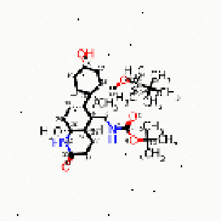 CC(C)(C)OC(=O)NC[C@@H]1[C@@H]([C@@]2(C)CC[C@H](O)C[C@@H]2CO[Si](C)(C)C(C)(C)C)CC[C@]2(C)NC(=O)CC[C@@H]12